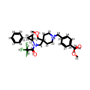 COCC1(CN(C(=O)C(F)(F)F)[C@@H]2C[C@H]2c2ccccc2)CCN(Cc2ccc(C(=O)OC)cc2)CC1